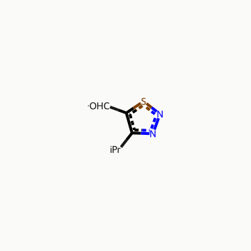 CC(C)c1nnsc1[C]=O